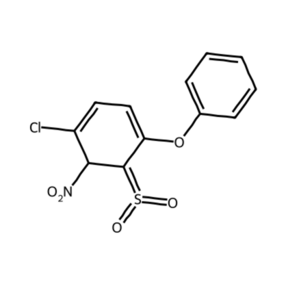 O=[N+]([O-])C1C(Cl)=CC=C(Oc2ccccc2)C1=S(=O)=O